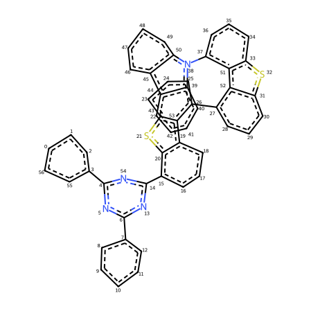 c1ccc(-c2nc(-c3ccccc3)nc(-c3cccc4c3sc3cccc(-c5cccc6sc7cccc(-n8c9ccccc9c9ccccc98)c7c56)c34)n2)cc1